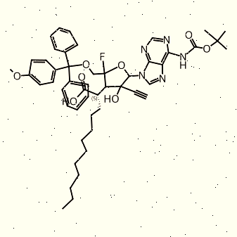 C#CC1(O)C(n2cnc3c(NC(=O)OC(C)(C)C)ncnc32)OC(F)(COC(c2ccccc2)(c2ccccc2)c2ccc(OC)cc2)C1[C@H](CCCCCCCCCC)C(=O)O